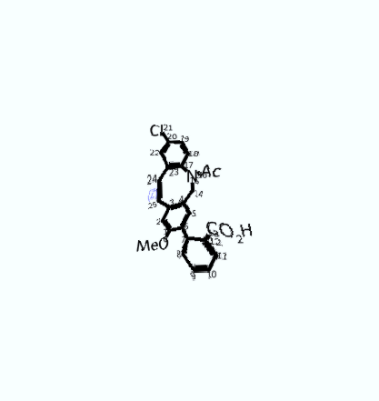 COc1cc2c(cc1-c1ccccc1C(=O)O)CN(C(C)=O)c1ccc(Cl)cc1/C=C\2